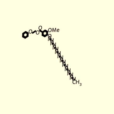 CN=NN=NN=NN=NN=NN=NN=NN=NN=NN=NOc1ccc(C(=O)OCCOc2ccccc2)cc1OC